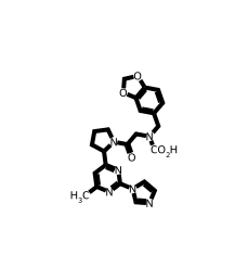 Cc1cc(C2CCCN2C(=O)CN(Cc2ccc3c(c2)OCO3)C(=O)O)nc(-n2ccnc2)n1